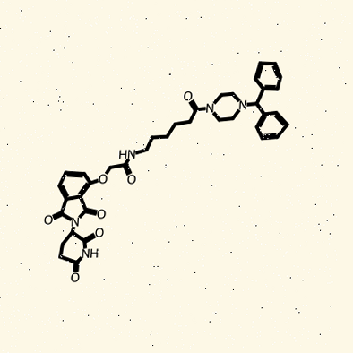 O=C(COc1cccc2c1C(=O)N(C1CCC(=O)NC1=O)C2=O)NCCCCCC(=O)N1CCN(C(c2ccccc2)c2ccccc2)CC1